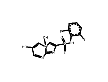 O=S(=O)(Nc1c(F)cccc1F)C1=C[N+]2(O)C=C(O)C=NC2=N1